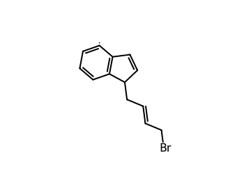 BrC/C=C/CC1C=Cc2[c]cccc21